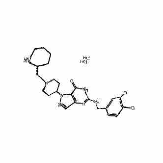 Cl.Cl.O=c1[nH]c(NCc2ccc(Cl)c(Cl)c2)nc2cnn(C3CCN(CC4CCCCN4)CC3)c12